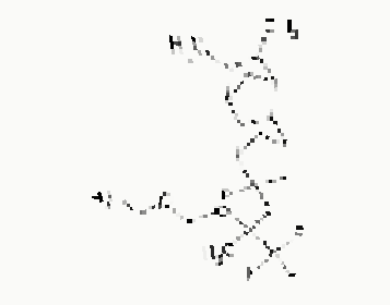 CCOCOC(C)(CC1(F)CC2CC1C1C3CC(C(C)C3C)C21)C(F)(F)F